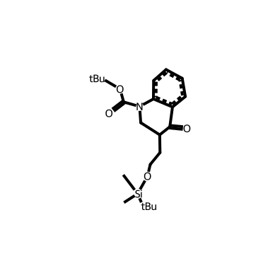 CC(C)(C)OC(=O)N1CC(CCO[Si](C)(C)C(C)(C)C)C(=O)c2ccccc21